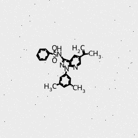 C=C(C)c1cnc2c(c1)c(NS(=O)(=O)c1ccccc1)nn2-c1cc(C)cc(C)c1